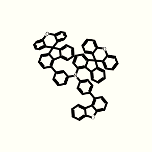 c1cc(-c2cccc3c2-c2ccccc2C32c3ccccc3Oc3ccccc32)cc(N(c2ccc(-c3cccc4oc5ccccc5c34)cc2)c2cccc3c2-c2ccccc2C32c3ccccc3Oc3ccccc32)c1